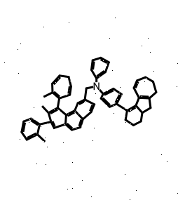 CC1=C(c2c(C)c(-c3ccccc3C)cc3ccc4ccc(CN(c5ccccc5)c5ccc(C6=C7C8=C(CCCC=C8)CC7CCC6)cc5)cc4c23)C=CCC=C1